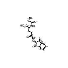 CC(C)(C)OC(=O)NC(CCC(=O)NON1C(=O)c2ccccc2C1=O)C(=O)O